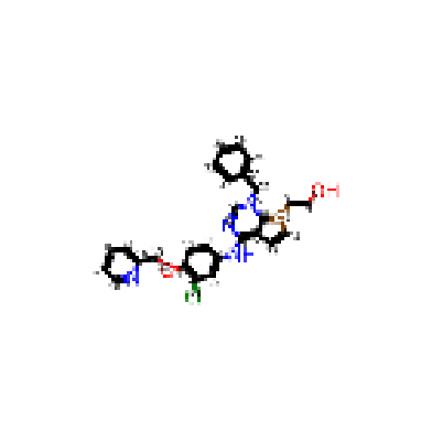 OCCS1=C2C(=C(Nc3ccc(OCc4ccccn4)c(Cl)c3)N=CN2Cc2ccccc2)C=C1